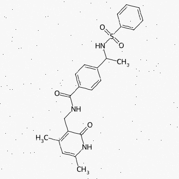 Cc1cc(C)c(CNC(=O)c2ccc(C(C)NS(=O)(=O)c3ccccc3)cc2)c(=O)[nH]1